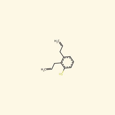 C=CCc1cccc(S)c1CC=C